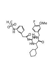 COc1cc(CNC(=O)C(CC2CCCCC2)NC(N)=NC(=O)Cc2cccc(NS(C)(=O)=O)c2)ccc1F